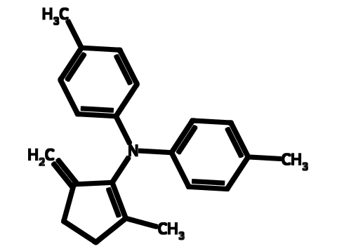 C=C1CCC(C)=C1N(c1ccc(C)cc1)c1ccc(C)cc1